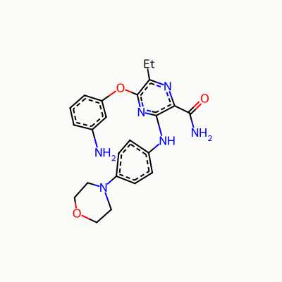 CCc1nc(C(N)=O)c(Nc2ccc(N3CCOCC3)cc2)nc1Oc1cccc(N)c1